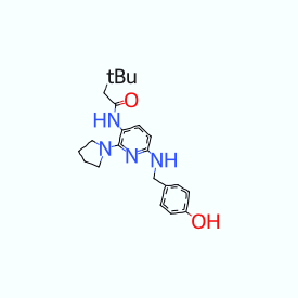 CC(C)(C)CC(=O)Nc1ccc(NCc2ccc(O)cc2)nc1N1CCCC1